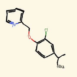 CCCCC(C)c1ccc(OCc2ccccn2)c(Cl)c1